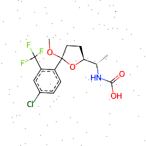 COC1(c2ccc(Cl)cc2C(F)(F)F)CC[C@@H]([C@H](C)NC(=O)O)O1